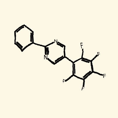 Fc1c(F)c(F)c(-c2cnc(-c3ccccc3)nc2)c(F)c1F